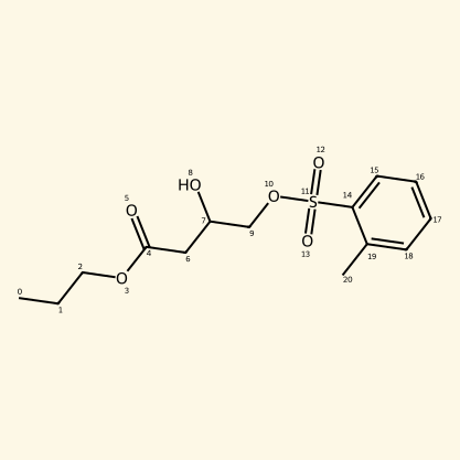 CCCOC(=O)CC(O)COS(=O)(=O)c1ccccc1C